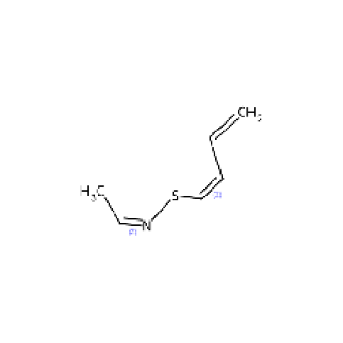 C=C/C=C\S/N=C\C